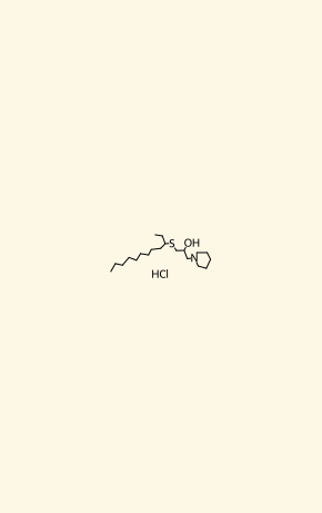 CCCCCCCCCC(CC)SCC(O)CN1CCCCC1.Cl